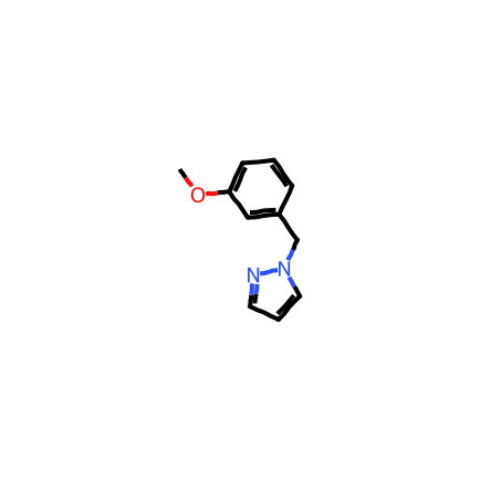 COc1cccc(Cn2cccn2)c1